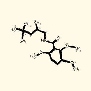 COc1ccc(OC)c(C(=O)PCC(C)CC(C)(C)C)c1OC